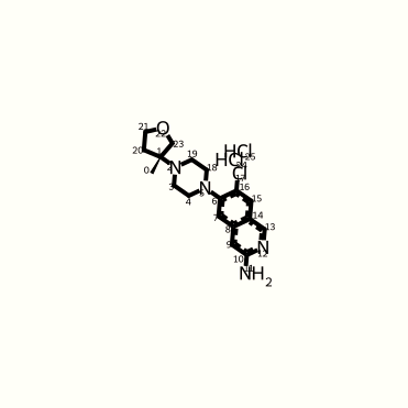 C[C@@]1(N2CCN(c3cc4cc(N)ncc4cc3Cl)CC2)CCOC1.Cl.Cl